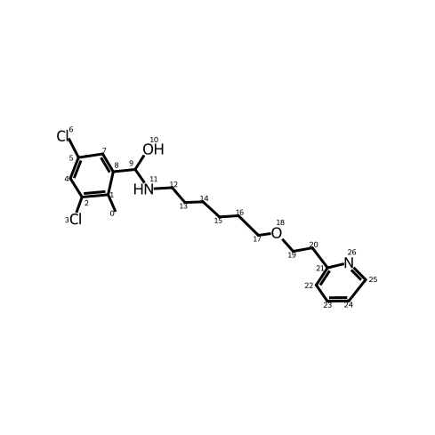 Cc1c(Cl)cc(Cl)cc1C(O)NCCCCCCOCCc1ccccn1